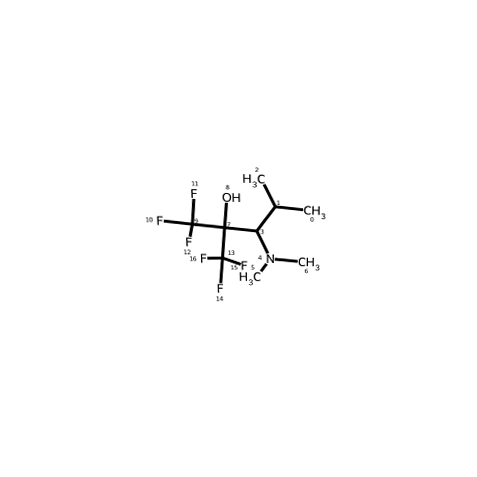 CC(C)C(N(C)C)C(O)(C(F)(F)F)C(F)(F)F